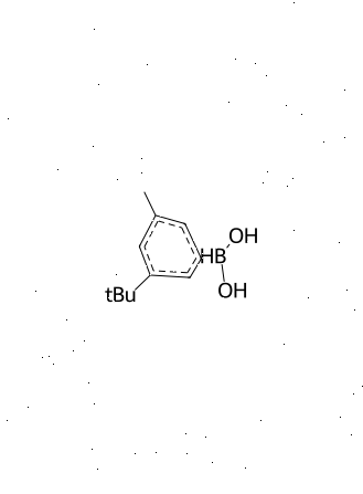 Cc1cccc(C(C)(C)C)c1.OBO